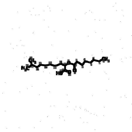 CCCCCCCC(=O)OC(CCCCCCC(C)C)C(=O)O